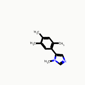 Cc1cc(C)c(-c2cncn2C)cc1C